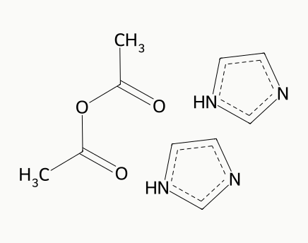 CC(=O)OC(C)=O.c1c[nH]cn1.c1c[nH]cn1